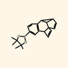 CC1(C)OB(c2ccc3c(c2)C2C=CC24C=CC2C3C24)OC1(C)C